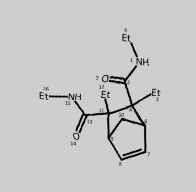 CCNC(=O)C1(CC)C2C=CC(C2)C1(CC)C(=O)NCC